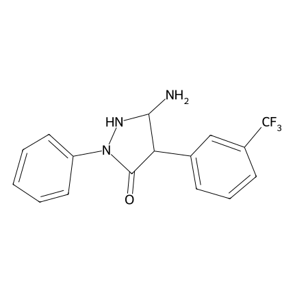 NC1NN(c2ccccc2)C(=O)C1c1cccc(C(F)(F)F)c1